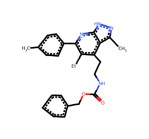 CCc1c(-c2ccc(C)cc2)nc2[nH]nc(C)c2c1CCNC(=O)OCc1ccccc1